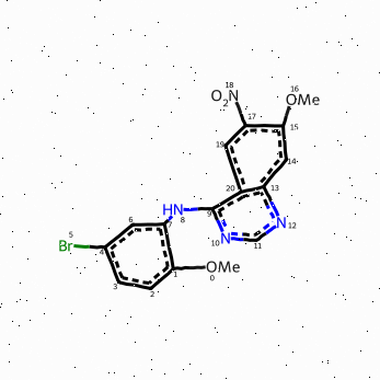 COc1ccc(Br)cc1Nc1ncnc2cc(OC)c([N+](=O)[O-])cc12